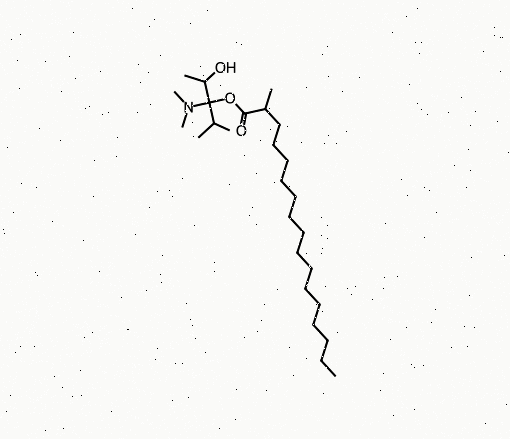 CCCCCCCCCCCCCCCC(C)C(=O)OC(C(C)C)(C(C)O)N(C)C